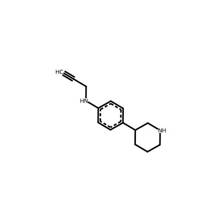 C#CCNc1ccc(C2CCCNC2)cc1